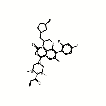 C=CC(=O)N1[C@H](C)CN(c2nc(=O)n3c4c(c(-c5ccc(F)cc5F)c(C)cc24)SCC3CN2CCC(F)C2)C[C@@H]1C